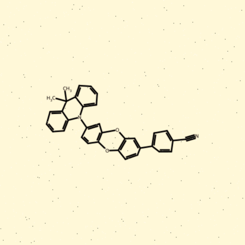 CC1(C)c2ccccc2N(c2ccc3c(c2)Oc2cc(-c4ccc(C#N)cc4)ccc2O3)c2ccccc21